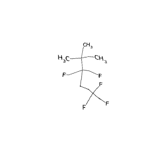 CC(C)(C)C(F)(F)CC(F)(F)F